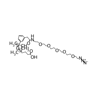 C[Si](C)(CCCC(=O)O)O[Si](C)(C)c1cccc(CC(=O)NCCOCCOCCOCCOCCOCCN=[N+]=[N-])c1